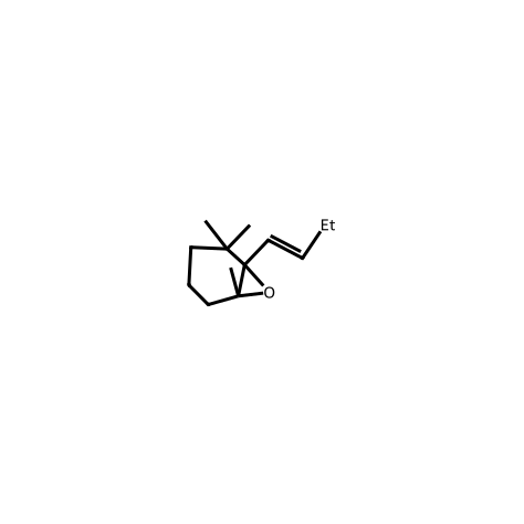 CCC=CC12OC1(C)CCCC2(C)C